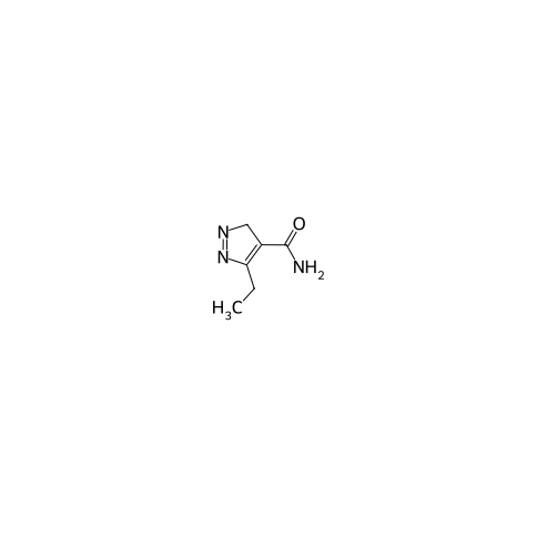 CCC1=C(C(N)=O)CN=N1